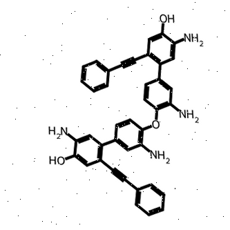 Nc1cc(-c2ccc(Oc3ccc(-c4cc(N)c(O)cc4C#Cc4ccccc4)cc3N)c(N)c2)c(C#Cc2ccccc2)cc1O